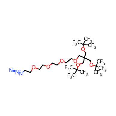 [N-]=[N+]=NCCOCCOCCOCCOCC(COC(C(F)(F)F)(C(F)(F)F)C(F)(F)F)(COC(C(F)(F)F)(C(F)(F)F)C(F)(F)F)COC(C(F)(F)F)(C(F)(F)F)C(F)(F)F